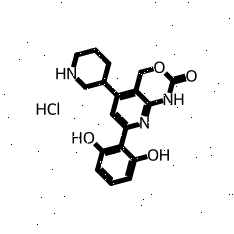 Cl.O=C1Nc2nc(-c3c(O)cccc3O)cc(C3CCCNC3)c2CO1